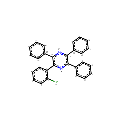 Brc1ccccc1-c1nc(-c2ccccc2)c(-c2ccccc2)nc1-c1ccccc1